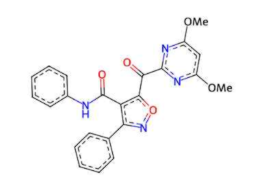 COc1cc(OC)nc(C(=O)c2onc(-c3ccccc3)c2C(=O)Nc2ccccc2)n1